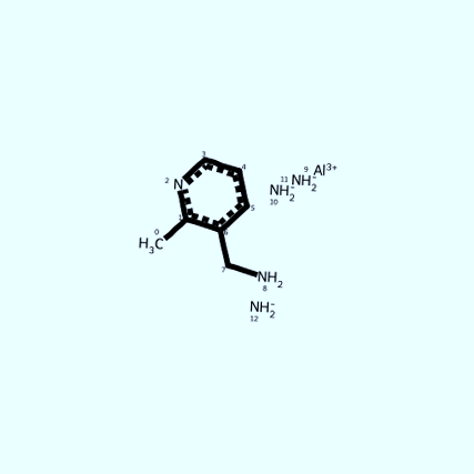 Cc1ncccc1CN.[Al+3].[NH2-].[NH2-].[NH2-]